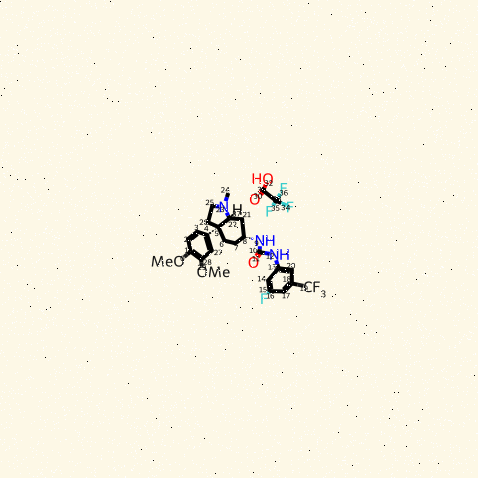 COc1ccc([C@@]23CC[C@@H](NC(=O)Nc4cc(F)cc(C(F)(F)F)c4)C[C@@H]2N(C)CC3)cc1OC.O=C(O)C(F)(F)F